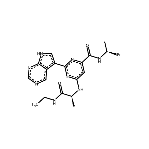 CC(C)[C@H](C)NC(=O)c1cc(N[C@@H](C)C(=O)NCC(F)(F)F)nc(-c2c[nH]c3ncncc23)n1